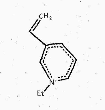 C=Cc1ccc[n+](CC)c1